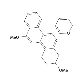 C1=CCOC=C1.COc1cc2c3c(ccc2c2ccccc12)CC(OC)CC3